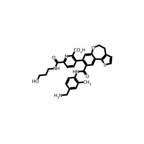 Cc1cc(CN)ccc1NC(=O)c1cc2c(cc1-c1ccc(C(=O)NCCCO)nc1C(=O)O)OCCc1ccsc1-2